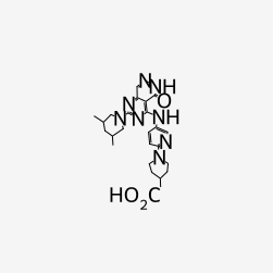 CC1CC(C)CN(c2nc(Nc3ccc(N4CCC(CC(=O)O)CC4)nc3)c3c(=O)[nH]ncc3n2)C1